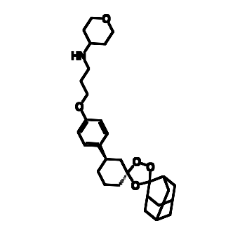 c1cc([C@@H]2CCC[C@]3(C2)OOC2(O3)C3CC4CC(C3)CC2C4)ccc1OCCCNC1CCOCC1